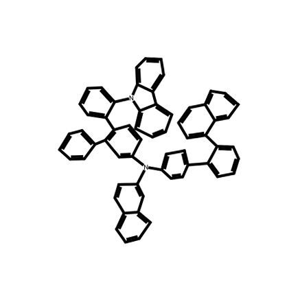 c1ccc(-c2cc(N(c3ccc(-c4ccccc4-c4cccc5ccccc45)cc3)c3ccc4ccccc4c3)ccc2-c2ccccc2-n2c3ccccc3c3ccccc32)cc1